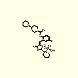 O=C1N=C(N2CCCCN2P(=O)(O)O)S/C1=C\c1cc(F)ccc1OC(=O)N1CCC(N2CCCCC2)CC1